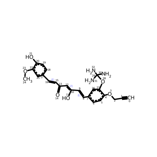 C#CCOc1ccc(/C=C/C(O)=C/C(=O)/C=C/c2ccc(O)c(OC)c2)cc1OC(N)(N)N